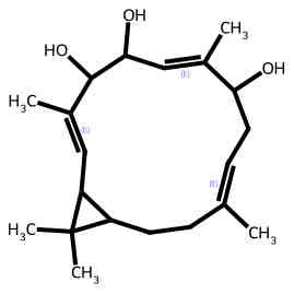 C/C1=C\CC(O)/C(C)=C/C(O)C(O)/C(C)=C/C2C(CC1)C2(C)C